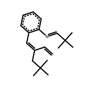 C=C/C(=C\c1ccccc1/N=C/C(C)(C)C)CC(C)(C)C